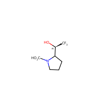 O=C(O)N1CCCC1[C@@H](O)C(F)(F)F